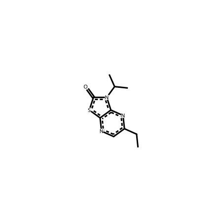 CCc1cnc2sc(=O)n(C(C)C)c2n1